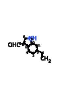 C=Cc1ccc2c(C=O)c[nH]c2c1